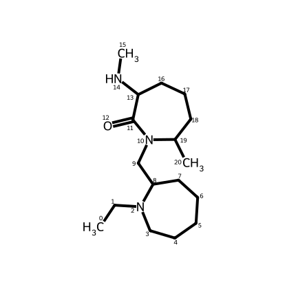 CCN1CCCCCC1CN1C(=O)C(NC)CCCC1C